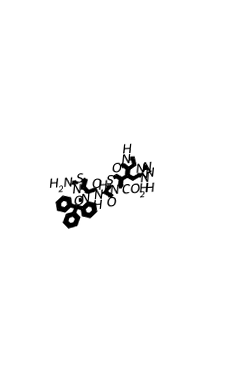 Nc1nc(C(=NOC(c2ccccc2)(c2ccccc2)c2ccccc2)C(=O)N[C@@H]2C(=O)N3C(C(=O)O)=C(C(Cc4nnn[nH]4)=C4CCNC4=O)CS[C@H]23)cs1